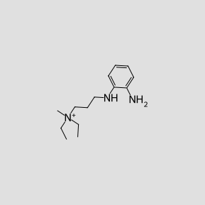 CC[N+](C)(CC)CCCNc1ccccc1N